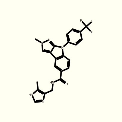 Cc1[nH]cnc1CNC(=O)c1ccc2c(c1)c1cn(C)nc1n2-c1ccc(C(F)(F)F)cc1